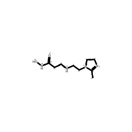 CC1=NCCN1CCNCCC(=O)NO